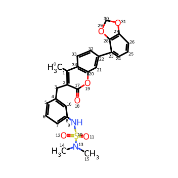 Cc1c(Cc2cccc(NS(=O)(=O)N(C)C)c2)c(=O)oc2cc(-c3cccc4c3OCO4)ccc12